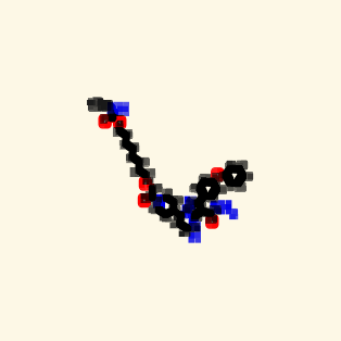 CC(C)(C)NC(=O)OCCCCCCCCOCC(=O)N1CCC([C@@H]2CCNc3c(C(N)=O)c(-c4ccc(Oc5ccccc5)cc4)nn32)CC1